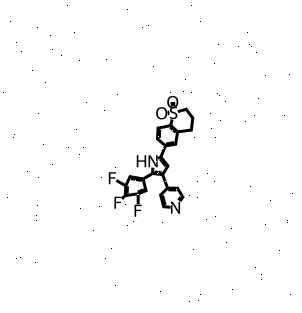 O=S1(=O)CCCc2cc(-c3cc(-c4ccncc4)c(-c4cc(F)c(F)c(F)c4)[nH]3)ccc21